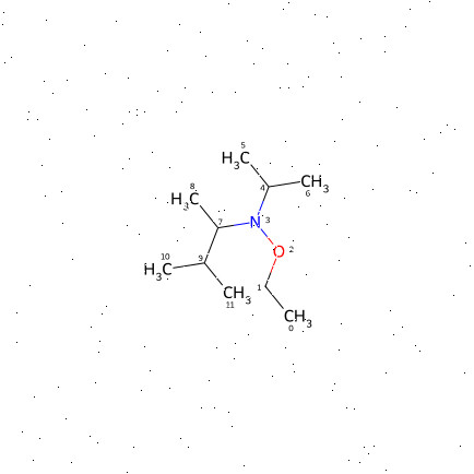 CCON(C(C)C)C(C)C(C)C